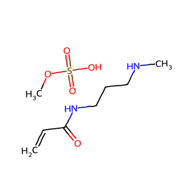 C=CC(=O)NCCCNC.COS(=O)(=O)O